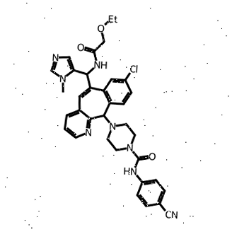 CCOCC(=O)NC(C1=Cc2cccnc2C(N2CCN(C(=O)Nc3ccc(C#N)cc3)CC2)c2ccc(Cl)cc21)c1cncn1C